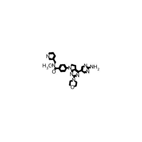 CN(Cc1cccnc1)C(=O)c1ccc(N2CCc3c(-c4cnc(N)nc4)nc(N4CCOCC4)nc32)cc1